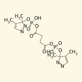 CC1=CN=NC1(C)OP(=O)(O)OC(=O)CCC(=O)OP(=O)(O)OC1(C)N=NC=C1C